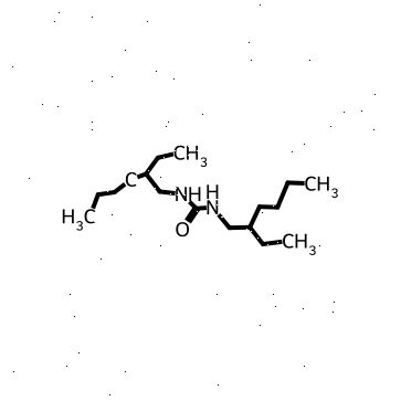 CCCCC(CC)CNC(=O)NCC(CC)CCCC